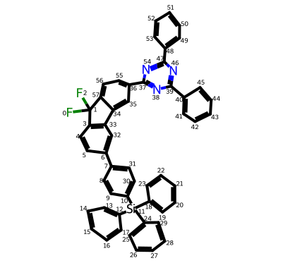 FC1(F)c2ccc(-c3ccc([Si](c4ccccc4)(c4ccccc4)c4ccccc4)cc3)cc2-c2cc(-c3nc(-c4ccccc4)nc(-c4ccccc4)n3)ccc21